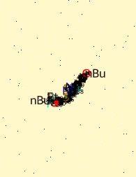 CCCCOc1ccc(-c2ccc(-c3ccc(-c4ccc(-c5ccc(OC(F)(F)C(CC)CCCC)cc5)s4)c4nsnc34)c(F)c2)cc1